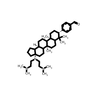 CN(C)CCN(CCN(C)C)[C@]12CCCC1[C@H]1CCC3[C@@](C)(CCC4C(C)(C)[C@@H](c5ccc(C=O)cc5)CC[C@@]43C)C1CC2